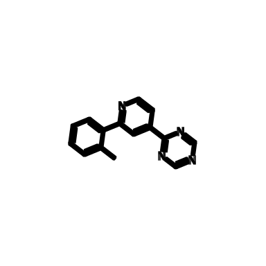 Cc1ccccc1-c1cc(-c2ncncn2)ccn1